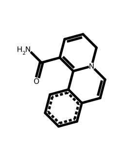 NC(=O)C1=C2c3ccccc3C=CN2CC=C1